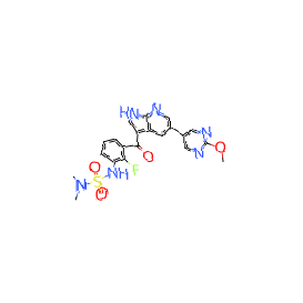 COc1ncc(-c2cnc3[nH]cc(C(=O)c4cccc(NS(=O)(=O)N(C)C)c4F)c3c2)cn1